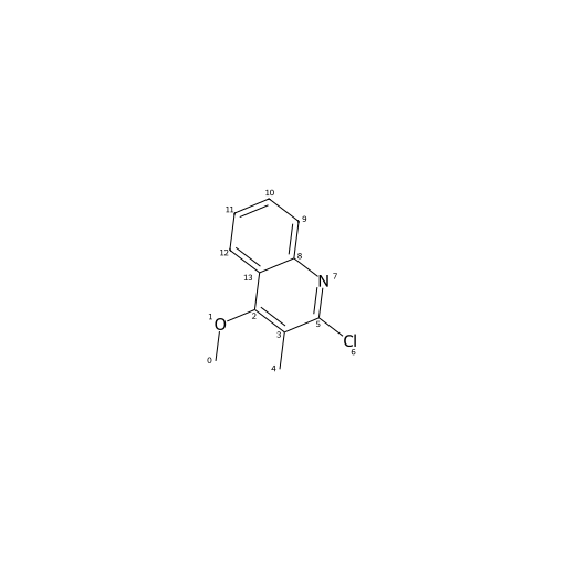 COc1c(C)c(Cl)nc2ccccc12